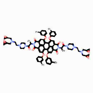 CC(C)c1cccc(Oc2cc3c4c(cc(Oc5cccc(C(C)C)c5)c5c6c(Oc7cccc(C(C)C)c7)cc7c8c(cc(Oc9cccc(C(C)C)c9)c(c2c45)c86)C(=O)N(C(C(=O)N2CCN(CCN(CC4CO4)CC4CO4)CC2)C(C)C)C7=O)C(=O)N(C(C(=O)N2CCN(CCN(CC4CO4)CC4CO4)CC2)C(C)C)C3=O)c1